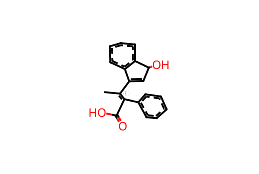 C/C(C1=CC(O)c2ccccc21)=C(\C(=O)O)c1ccccc1